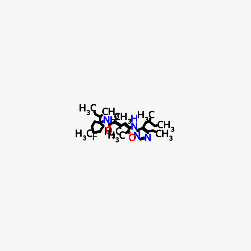 CCc1ncnc(N/C(=C/C(C)=C(\C)C(=O)NC2(C(C)CC)CCC(C)(F)CC2)C(C)=O)c1CC(C)CC